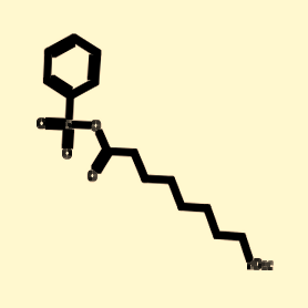 CCCCCCCCCCCCCCCCCC(=O)OS(=O)(=O)c1ccccc1